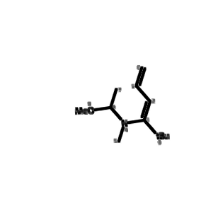 C=C/C=C(\N(C)C(C)OC)C(C)(C)C